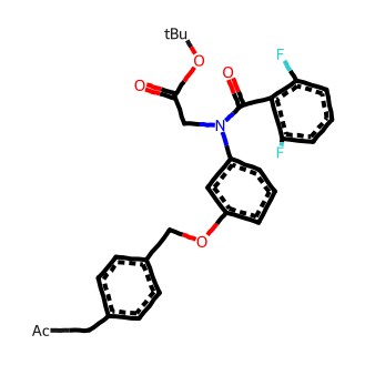 CC(=O)Cc1ccc(COc2cccc(N(CC(=O)OC(C)(C)C)C(=O)c3c(F)cccc3F)c2)cc1